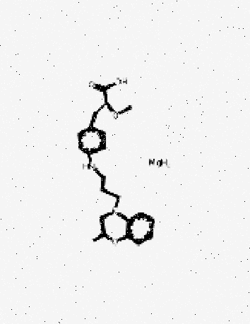 CO[C@@H](Cc1ccc(NCCCN2CC(C)Oc3ccccc32)cc1)C(=O)O.[MgH2]